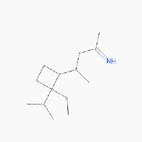 CCC1(C(C)C)CCC1C(C)CC(C)=N